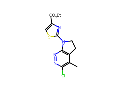 CCOC(=O)c1csc(N2CCc3c2nnc(Cl)c3C)n1